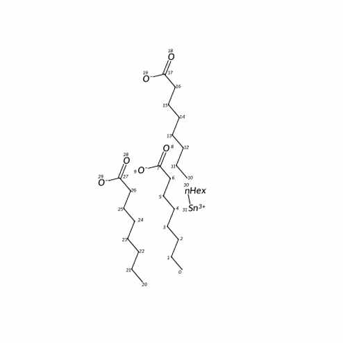 CCCCCCCC(=O)[O-].CCCCCCCC(=O)[O-].CCCCCCCC(=O)[O-].CCCCC[CH2][Sn+3]